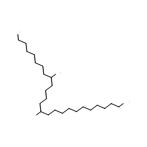 [CH2]C(CCCCCCCCCCCC)CCCCC(C)CCCCCCCC